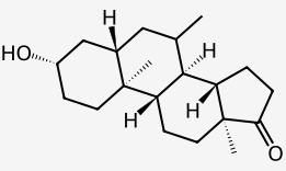 CC1C[C@H]2C[C@@H](O)CC[C@]2(C)[C@H]2CC[C@]3(C)C(=O)CC[C@H]3[C@H]12